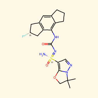 CC1(C)COc2c([S@@](N)(=O)=NC(=O)Nc3c4c(cc5c3C[C@H](F)C5)CCC4)cnn21